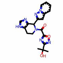 CC(C)(O)c1noc(C(=O)N2CCc3[nH]cnc3C2c2cc3ccccn3n2)n1